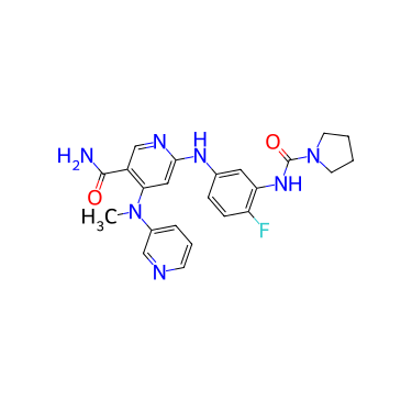 CN(c1cccnc1)c1cc(Nc2ccc(F)c(NC(=O)N3CCCC3)c2)ncc1C(N)=O